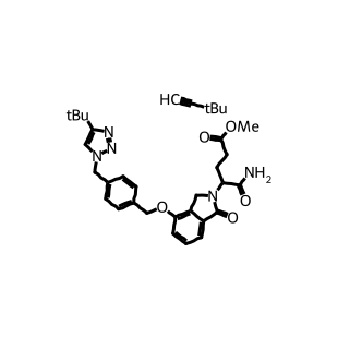 C#CC(C)(C)C.COC(=O)CCC(C(N)=O)N1Cc2c(OCc3ccc(Cn4cc(C(C)(C)C)nn4)cc3)cccc2C1=O